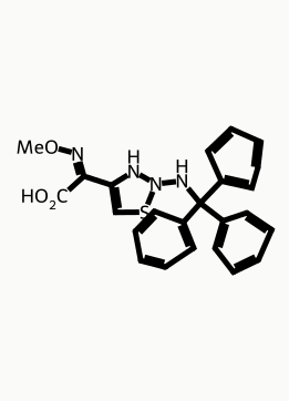 CON=C(C(=O)O)C1=CSN(NC(c2ccccc2)(c2ccccc2)c2ccccc2)N1